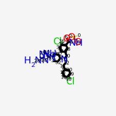 CS(=O)(=O)NC(=O)c1cc(CN(CCc2ccc(Cl)cc2)C2CCN(c3nc(N)n[nH]3)CC2)ccc1Cl